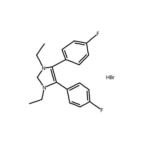 Br.CCN1CN(CC)C(c2ccc(F)cc2)=C1c1ccc(F)cc1